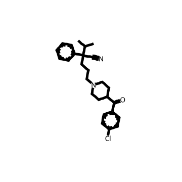 CC(C)C(C#N)(CCCN1CCC(C(=O)c2ccc(Cl)cc2)CC1)c1ccccc1